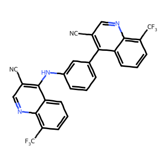 N#Cc1cnc2c(C(F)(F)F)cccc2c1Nc1cccc(-c2c(C#N)cnc3c(C(F)(F)F)cccc23)c1